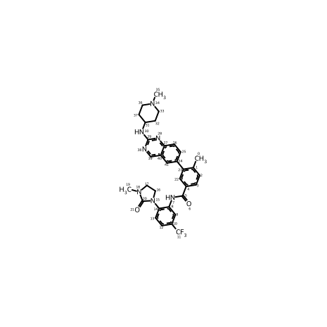 Cc1ccc(C(=O)Nc2cc(C(F)(F)F)ccc2N2CCN(C)C2=O)cc1-c1ccc2nc(NC3CCN(C)CC3)ncc2c1